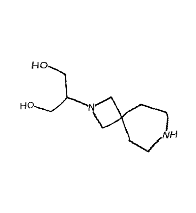 OCC(CO)N1CC2(CCNCC2)C1